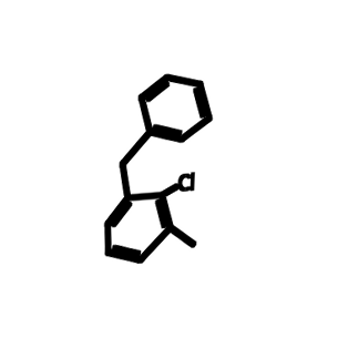 Cc1cccc(Cc2ccccc2)c1Cl